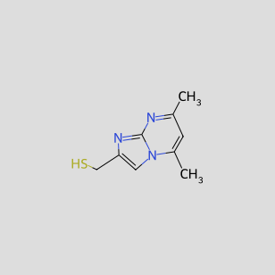 Cc1cc(C)n2cc(CS)nc2n1